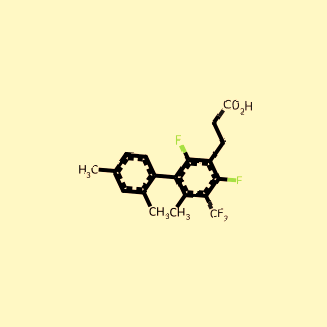 Cc1ccc(-c2c(C)c(C(F)(F)F)c(F)c(CCC(=O)O)c2F)c(C)c1